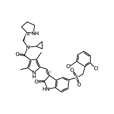 Cc1[nH]c(/C=C2\C(=O)Nc3ccc(S(=O)(=O)Cc4c(Cl)cccc4Cl)cc32)c(C)c1C(=O)N(C[C@H]1CCCN1)C1CC1